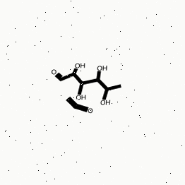 C=C=O.CC(O)C(O)C(O)C(O)C=O